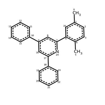 Cc1ccc(C)c(-c2cc(-c3ccccc3)cc(-c3ccccc3)n2)c1